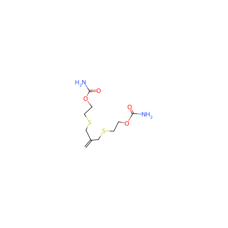 C=C(CSCCOC(N)=O)CSCCOC(N)=O